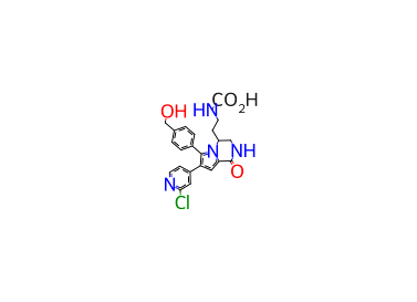 O=C(O)NCCC1CNC(=O)c2cc(-c3ccnc(Cl)c3)c(-c3ccc(CO)cc3)n21